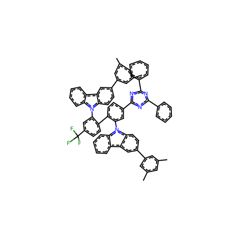 Cc1cc(C)cc(-c2ccc3c(c2)c2ccccc2n3-c2cc(-c3nc(-c4ccccc4)nc(-c4ccccc4)n3)ccc2-c2ccc(C(F)(F)F)cc2-n2c3ccccc3c3cc(-c4cc(C)cc(C)c4)ccc32)c1